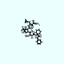 CC(C)(C)[C@H](NC(=O)NC1(C(=O)Cc2ccccc2)CCCCC1)C(=O)N1C[C@H]2[C@@H]([C@H]1C(=O)NC(CC1CC1)C(=O)C(N)=O)C2(C)C